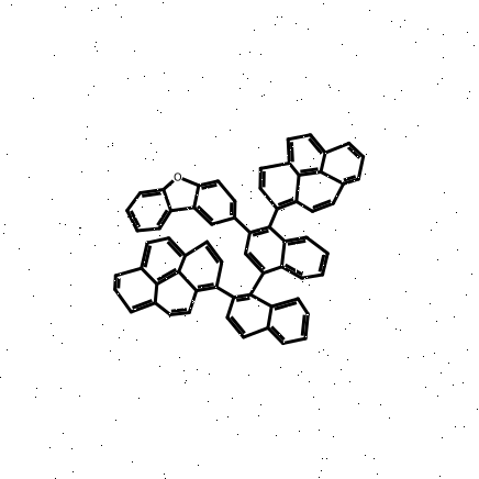 c1ccc2c(-c3cc(-c4ccc5oc6ccccc6c5c4)c(-c4ccc5ccc6cccc7ccc4c5c67)c4ccccc34)c(-c3ccc4ccc5cccc6ccc3c4c56)ccc2c1